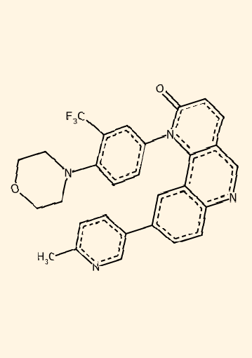 Cc1ccc(-c2ccc3ncc4ccc(=O)n(-c5ccc(N6CCOCC6)c(C(F)(F)F)c5)c4c3c2)cn1